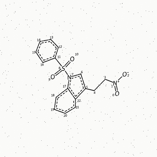 O=[N+]([O-])CCc1cn(S(=O)(=O)c2ccccc2)c2ccccc12